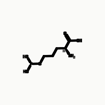 N[C@@H](CCCOP(O)O)C(=O)O